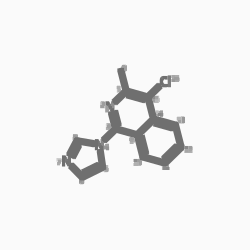 Cc1nc(-n2ccnc2)c2ccccc2c1Cl